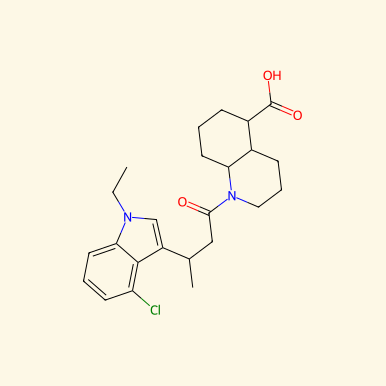 CCn1cc(C(C)CC(=O)N2CCCC3C(C(=O)O)CCCC32)c2c(Cl)cccc21